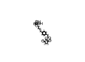 O=C(Cc1ccc(CSCCOP(=O)(O)O)cc1)ON1C(=O)CCC1=O